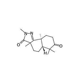 CN1N=C2C(C)(CC[C@H]3C(C)(C)C(=O)CC[C@]23C)C1=O